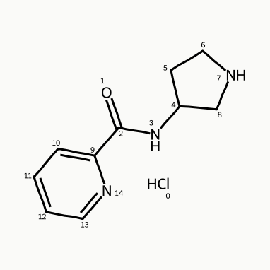 Cl.O=C(NC1CCNC1)c1ccccn1